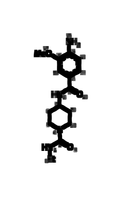 CCNC(=O)N1CCC(NC(=O)c2ccc(N)c(OC)c2)CC1